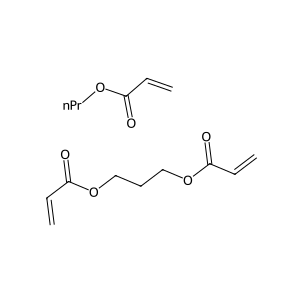 C=CC(=O)OCCC.C=CC(=O)OCCCOC(=O)C=C